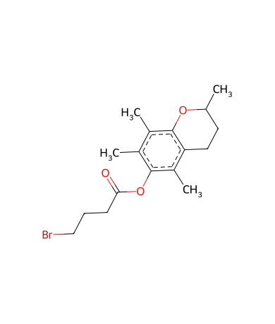 Cc1c(C)c2c(c(C)c1OC(=O)CCCBr)CCC(C)O2